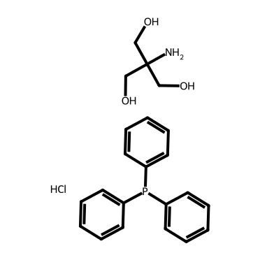 Cl.NC(CO)(CO)CO.c1ccc(P(c2ccccc2)c2ccccc2)cc1